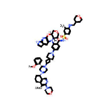 COc1c(N2CCOCC2)ncc2c1CCC[C@H]2N1CCN(C2CC3(CCN(c4ccc(C(=O)NS(=O)(=O)c5ccc(NCC6CCOCC6)c([N+](=O)[O-])c5)c(N5c6cc7cc[nH]c7nc6O[C@H]6COCC[C@@H]65)c4)CC3)C2)[C@@H](c2ccccc2OC(C)C)C1